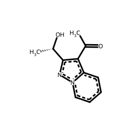 CC(=O)c1c([C@H](C)O)nn2ccccc12